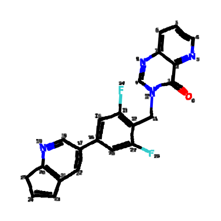 O=c1c2ncccc2ncn1Cc1c(F)cc(-c2cnc3c(c2)C=CC3)cc1F